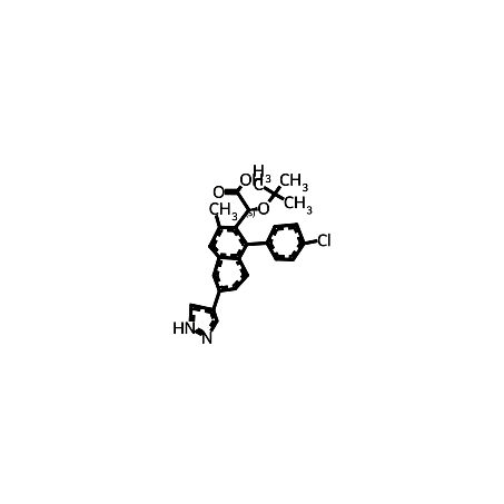 Cc1cc2cc(-c3cn[nH]c3)ccc2c(-c2ccc(Cl)cc2)c1[C@H](OC(C)(C)C)C(=O)O